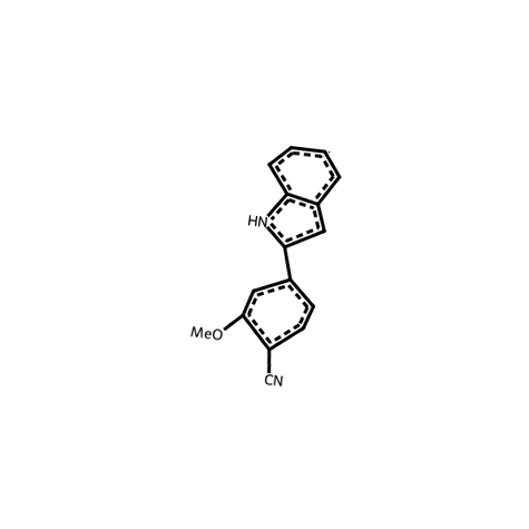 COc1cc(-c2cc3c[c]ccc3[nH]2)ccc1C#N